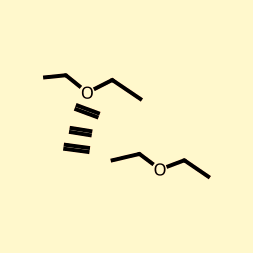 C=C.C=C.C=C.CCOCC.CCOCC